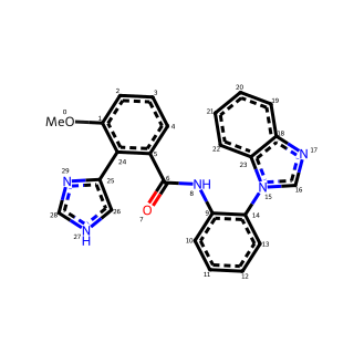 COc1cccc(C(=O)Nc2ccccc2-n2cnc3ccccc32)c1-c1c[nH]cn1